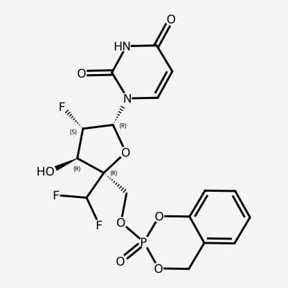 O=c1ccn([C@@H]2O[C@@](COP3(=O)OCc4ccccc4O3)(C(F)F)[C@@H](O)[C@@H]2F)c(=O)[nH]1